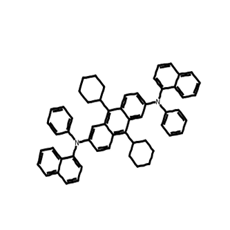 c1ccc(N(c2ccc3c(C4CCCCC4)c4cc(N(c5ccccc5)c5cccc6ccccc56)ccc4c(C4CCCCC4)c3c2)c2cccc3ccccc23)cc1